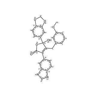 COc1cccc(CC2=C(c3ccc4nsnc4c3)C(=O)OC2(O)c2ccc3c(c2)OCO3)c1